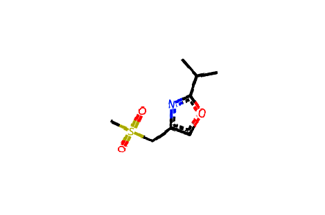 CC(C)c1nc(CS(C)(=O)=O)co1